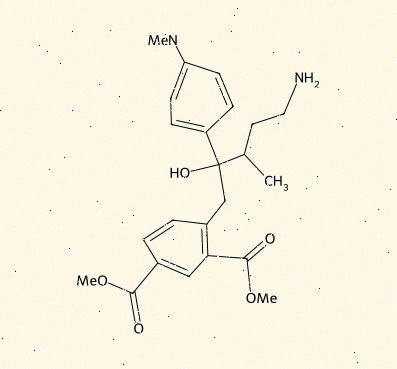 CNc1ccc(C(O)(Cc2ccc(C(=O)OC)cc2C(=O)OC)C(C)CCN)cc1